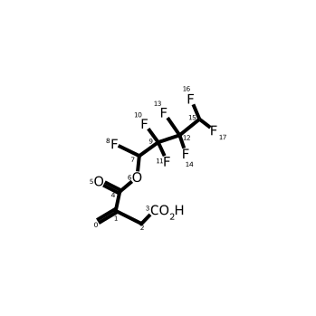 C=C(CC(=O)O)C(=O)OC(F)C(F)(F)C(F)(F)C(F)F